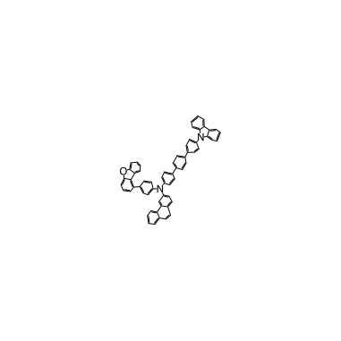 c1ccc2c(c1)ccc1ccc(N(c3ccc(-c4ccc(-c5ccc(-n6c7ccccc7c7ccccc76)cc5)cc4)cc3)c3ccc(-c4cccc5oc6ccccc6c45)cc3)cc12